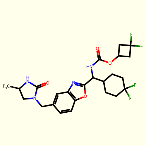 O=C(NC(c1nc2cc(CN3CC(C(F)(F)F)NC3=O)ccc2o1)C1CCC(F)(F)CC1)OC1CC(F)(F)C1